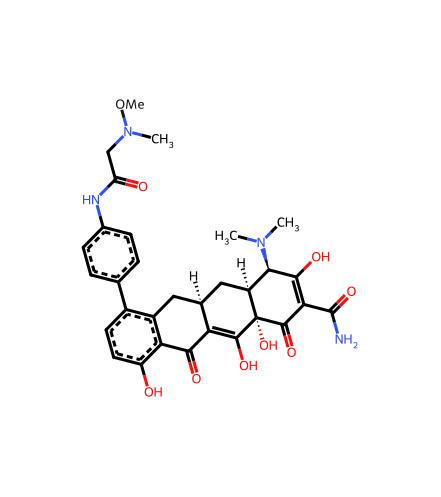 CON(C)CC(=O)Nc1ccc(-c2ccc(O)c3c2C[C@H]2C[C@H]4[C@@H](N(C)C)C(O)=C(C(N)=O)C(=O)[C@@]4(O)C(O)=C2C3=O)cc1